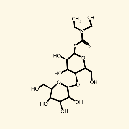 CCN(CC)C(=S)SC1OC(CO)[C@@H](O[C@@H]2O[C@H](CO)[C@H](O)[C@H](O)C2O)C(O)[C@H]1O